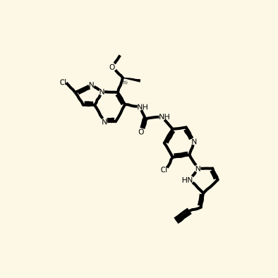 C#CC=C1C=CN(c2ncc(NC(=O)Nc3cnc4cc(Cl)nn4c3[C@H](C)OC)cc2Cl)N1